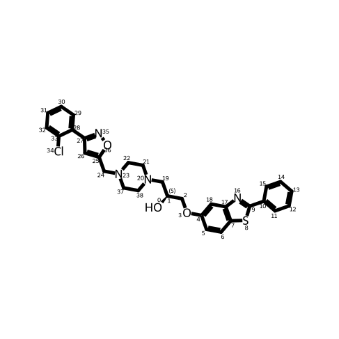 O[C@H](COc1ccc2sc(-c3ccccc3)nc2c1)CN1CCN(Cc2cc(-c3ccccc3Cl)no2)CC1